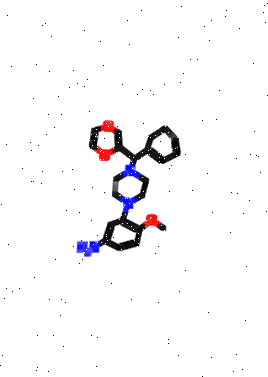 COc1ccc(N)cc1N1CCN(C(C2=CC=CCC2)C2=COC=CO2)CC1